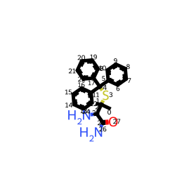 CC(C)(SC(c1ccccc1)(c1ccccc1)c1ccccc1)C(N)C(N)=O